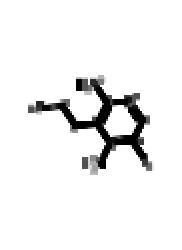 Nc1ncc(I)c(N)c1CCF